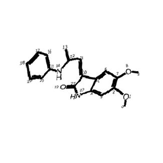 COc1cc2c(cc1OC)C(=CC(C)Nc1ccccc1)C(=O)N2